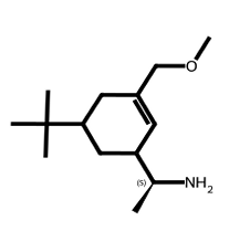 COCC1=CC([C@H](C)N)CC(C(C)(C)C)C1